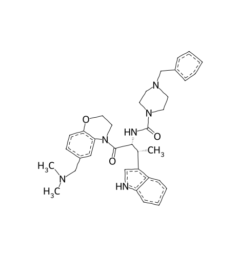 C[C@H](c1c[nH]c2ccccc12)[C@@H](NC(=O)N1CCN(Cc2ccccc2)CC1)C(=O)N1CCOc2ccc(CN(C)C)cc21